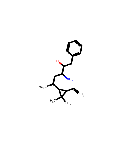 C=CC1C(C(CC(N)C(O)Cc2ccccc2)C(=O)O)C1(C)C